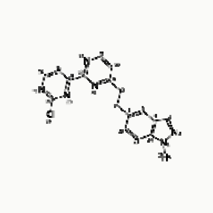 [2H]n1ncc2cc(CCc3ccnc(-c4ccnc(Cl)n4)n3)ccc21